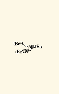 CC(C)(C)OCCCCCN1CCN(C(C)(C)C)CC1CC(C)(C)N1CCN(C(C)(C)C)CC1